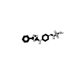 CC(C)(C)S(=O)(=O)NC[C@H]1CC[C@H](Nc2nc(-c3ccccc3)no2)CC1